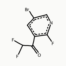 O=C(c1cc(Br)cnc1F)C(F)F